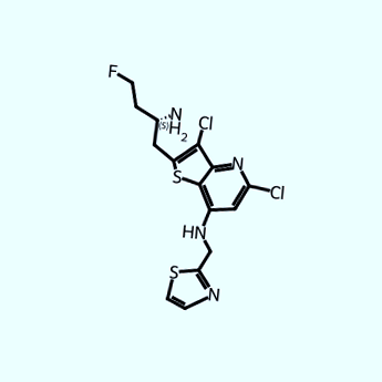 N[C@@H](CCF)Cc1sc2c(NCc3nccs3)cc(Cl)nc2c1Cl